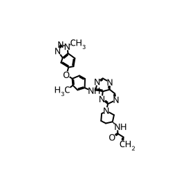 C=CC(=O)N[C@H]1CCCN(c2ncc3ncnc(Nc4ccc(Oc5ccc6c(c5)nnn6C)c(C)c4)c3n2)C1